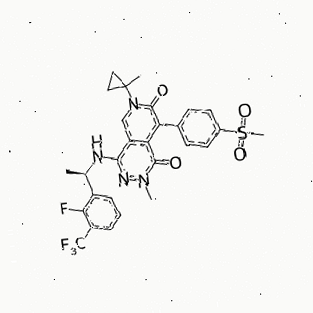 C[C@@H](Nc1nn(C)c(=O)c2c(-c3ccc(S(C)(=O)=O)cc3)c(=O)n(C3(C)CC3)cc12)c1cccc(C(F)(F)F)c1F